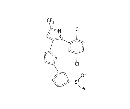 CC(C)[S+]([O-])c1cccc(-c2ccc(-c3cc(C(F)(F)F)nn3-c3cc(Cl)ccc3Cl)s2)c1